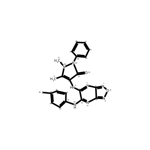 Cc1c(Nc2nc3nonc3nc2Nc2ccc(I)cc2)c(=O)n(-c2ccccc2)n1C